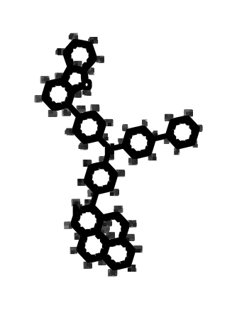 c1ccc(-c2ccc(N(c3ccc(-c4ncc5ccc6cccc7ccc4c5c67)cc3)c3ccc(-c4cccc5c4oc4ccccc45)cc3)cc2)cc1